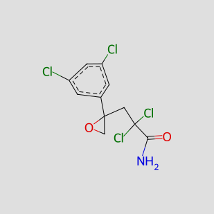 NC(=O)C(Cl)(Cl)CC1(c2cc(Cl)cc(Cl)c2)CO1